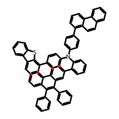 c1ccc(-c2c(-c3ccccc3)c3cc(-c4ccccc4N(c4ccc(-c5cccc6c5ccc5ccccc56)cc4)c4ccc(-c5cccc6c5sc5ccccc56)cc4)ccc3c3ccccc23)cc1